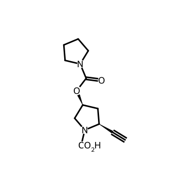 C#C[C@@H]1C[C@H](OC(=O)N2CCCC2)CN1C(=O)O